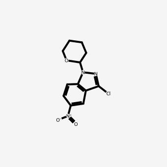 O=[N+]([O-])c1ccc2c(c1)c(Cl)nn2C1CCCCO1